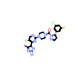 O=C(N1CCN(c2ncc(F)c(-c3n[nH]nc3I)n2)CC1)N1N=CC[C@H]1c1cc(F)cc(F)c1